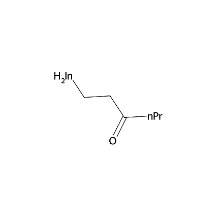 CCCC(=O)C[CH2][InH2]